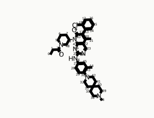 CCC(=O)N1CCC[C@H](n2c(=O)c(-c3ccccc3Cl)c(C)c3cnc(Nc4ccc(N5CCC6(CCN(C)CC6)CC5)c(C)c4)nc32)C1